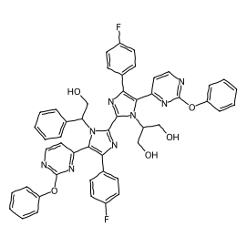 OCC(CO)n1c(-c2nc(-c3ccc(F)cc3)c(-c3ccnc(Oc4ccccc4)n3)n2C(CO)c2ccccc2)nc(-c2ccc(F)cc2)c1-c1ccnc(Oc2ccccc2)n1